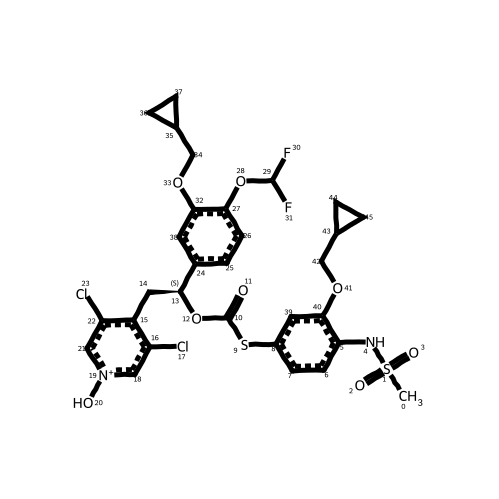 CS(=O)(=O)Nc1ccc(SC(=O)O[C@@H](Cc2c(Cl)c[n+](O)cc2Cl)c2ccc(OC(F)F)c(OCC3CC3)c2)cc1OCC1CC1